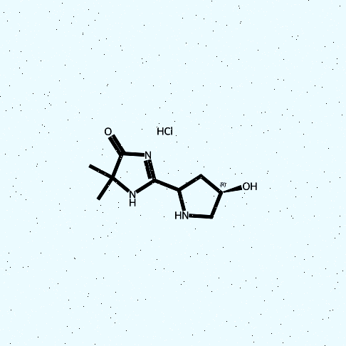 CC1(C)NC(C2C[C@@H](O)CN2)=NC1=O.Cl